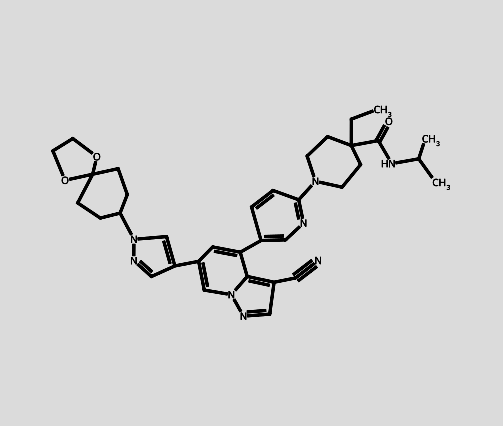 CCC1(C(=O)NC(C)C)CCN(c2ccc(-c3cc(-c4cnn(C5CCC6(CC5)OCCO6)c4)cn4ncc(C#N)c34)cn2)CC1